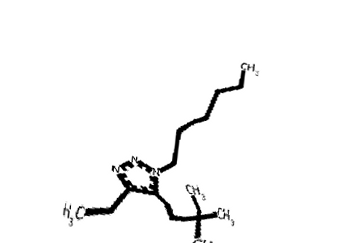 CCCCCCn1nnc(CC)c1CC(C)(C)C